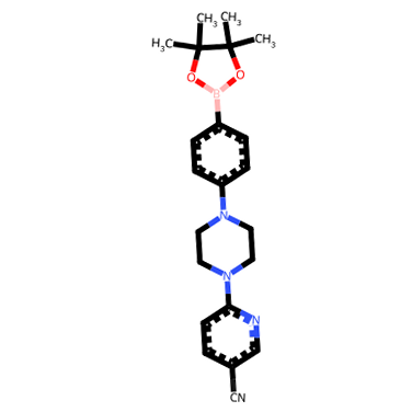 CC1(C)OB(c2ccc(N3CCN(c4ccc(C#N)cn4)CC3)cc2)OC1(C)C